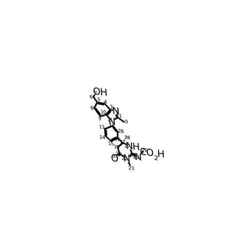 Cc1nc2cc(CO)ccc2n1-c1cccc([C@]2(C)CC(=O)N(C)/C(=N/C(=O)O)N2)c1